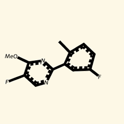 COc1nc(-c2cc(F)ccc2C)ncc1F